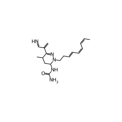 C=C(C=N)C1=NN(CCC=C/C=C\C=C/C)C(NC(N)=O)CC1C